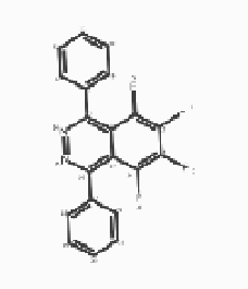 Fc1c(F)c(F)c2c(-c3ccccc3)nnc(-c3ccccc3)c2c1F